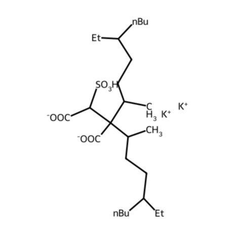 CCCCC(CC)CCC(C)C(C(=O)[O-])(C(C)CCC(CC)CCCC)C(C(=O)[O-])S(=O)(=O)O.[K+].[K+]